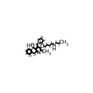 CCCNCCCCOc1c(C)nc(Cc2ccccc2)c(CO)c1CN1CCCC1